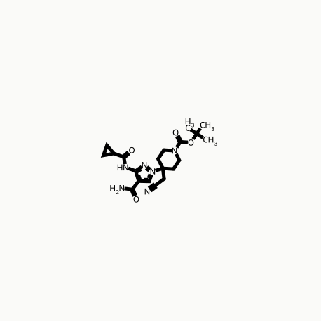 CC(C)(C)OC(=O)N1CCC(CC#N)(n2cc(C(N)=O)c(NC(=O)C3CC3)n2)CC1